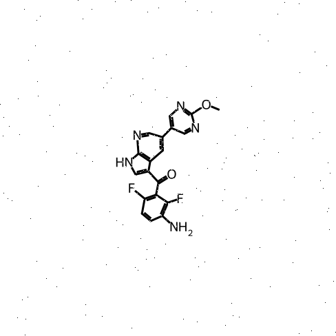 COc1ncc(-c2cnc3[nH]cc(C(=O)c4c(F)ccc(N)c4F)c3c2)cn1